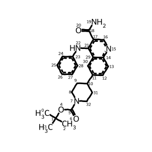 CC(C)(C)OC(=O)N1CCC(c2ccc3ncc(C(N)=O)c(Nc4ccccc4)c3c2)CC1